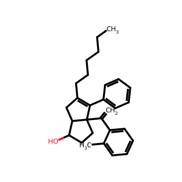 C=C(c1ccccc1C)C12CCC(O)C1CC(CCCCCC)=C2c1ccccc1